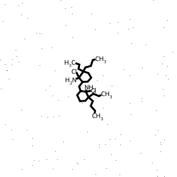 CCCCC1(CCC)CCCC(CC2CCCC(CCC)(CCCC)C2(N)Cl)C1(N)Cl